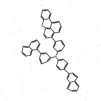 c1cc(-c2cccc3ccccc23)cc(N(c2ccc(-c3ccc4ccccc4c3)cc2)c2cccc(-c3ccc4c5c(cccc35)-c3ccccc3O4)c2)c1